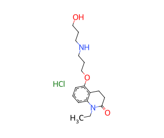 CCN1C(=O)CCc2c(OCCCNCCCO)cccc21.Cl